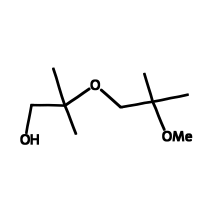 COC(C)(C)COC(C)(C)CO